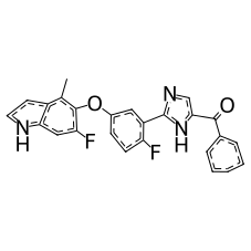 Cc1c(Oc2ccc(F)c(-c3ncc(C(=O)c4ccccc4)[nH]3)c2)c(F)cc2[nH]ccc12